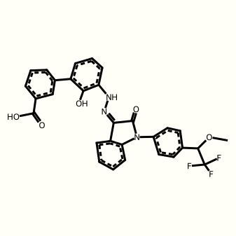 COC(c1ccc(N2C(=O)C(=NNc3cccc(-c4cccc(C(=O)O)c4)c3O)c3ccccc32)cc1)C(F)(F)F